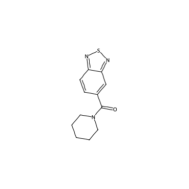 O=C(c1ccc2nsnc2c1)N1CCCCC1